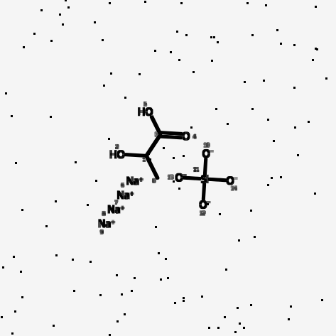 CC(O)C(=O)O.[Na+].[Na+].[Na+].[Na+].[O-][Si]([O-])([O-])[O-]